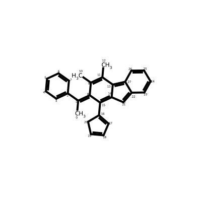 CC(c1ccccc1)=c1c(C)c(C)c2c(c1C1=CC=CC1)[C]=c1ccccc1=2